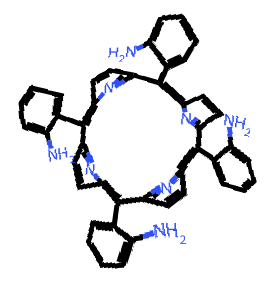 Nc1ccccc1C1=C2C=CC(=N2)C(c2ccccc2N)=C2C=CC(=N2)C(c2ccccc2N)=C2C=CC(=N2)C(c2ccccc2N)=C2C=CC1=N2